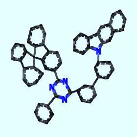 c1ccc(-c2nc(-c3cccc(-c4cccc(-n5c6ccccc6c6cc7ccccc7cc65)c4)c3)nc(-c3ccc4c(c3)C3(c5ccccc5-c5ccccc53)c3ccccc3-4)n2)cc1